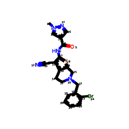 Cn1cc(C(=O)Nc2sc3c(c2C#N)CCN(Cc2ccccc2Br)C3)cn1